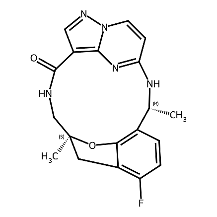 C[C@H]1Nc2ccn3ncc(c3n2)C(=O)NC[C@]2(C)Cc3c(F)ccc1c3O2